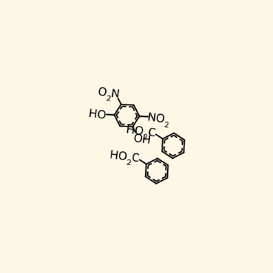 O=C(O)c1ccccc1.O=C(O)c1ccccc1.O=[N+]([O-])c1cc([N+](=O)[O-])c(O)cc1O